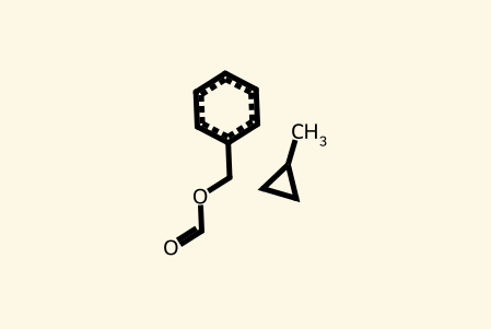 CC1CC1.O=COCc1ccccc1